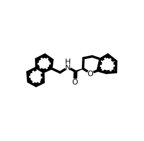 O=C(NCc1cccc2ccccc12)[C@H]1CCc2ccccc2O1